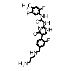 Cc1cc(F)c(NC(=O)Nc2nc(=O)c(-c3ccc(CNCCCN)cc3F)c[nH]2)cc1F